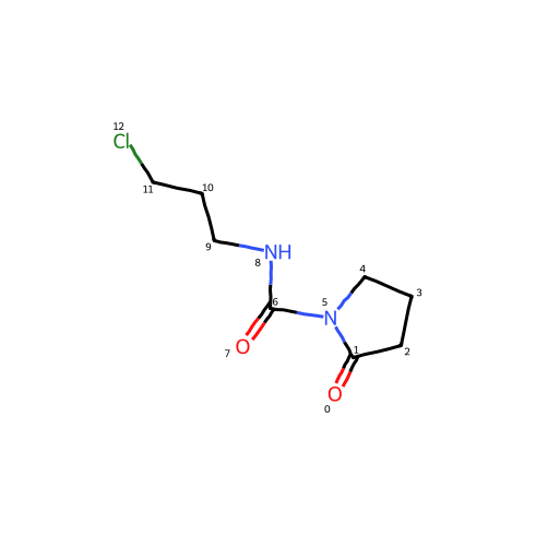 O=C1CCCN1C(=O)NCCCCl